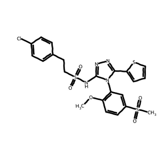 COc1ccc(S(C)(=O)=O)cc1-n1c(NS(=O)(=O)CCc2ccc(Cl)cc2)nnc1-c1cccs1